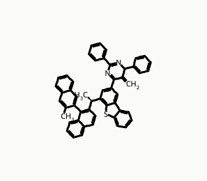 C=C1C(c2cc([C@H](C)c3ccc4ccccc4c3-c3cc4ccccc4cc3C)c3sc4ccccc4c3c2)=NC(c2ccccc2)=NC1c1ccccc1